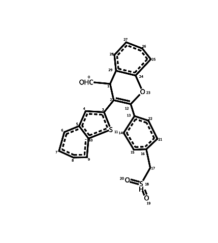 O=CC1C(c2cc3ccccc3s2)=C(c2ccc(C[SH](=O)=O)cc2)Oc2ccccc21